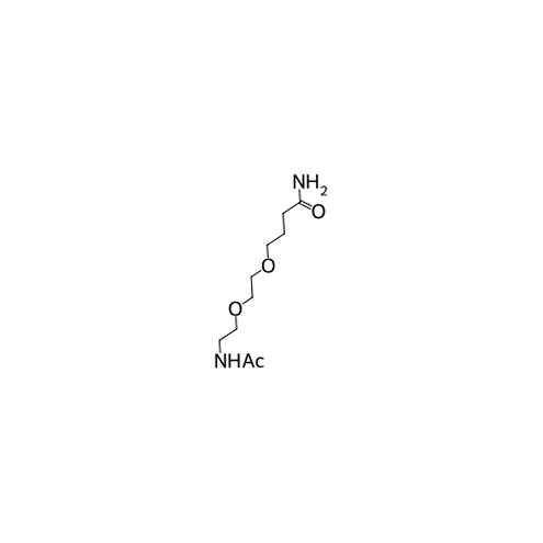 CC(=O)NCCOCCOCCCC(N)=O